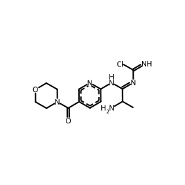 CC(N)/C(=N/C(=N)Cl)Nc1ccc(C(=O)N2CCOCC2)cn1